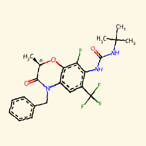 C[C@H]1Oc2c(cc(C(F)(F)F)c(NC(=O)NC(C)(C)C)c2F)N(Cc2ccccc2)C1=O